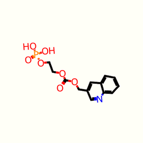 O=C(OCCOP(=O)(O)O)OCc1cnc2ccccc2c1